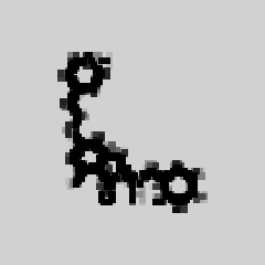 Cc1cc(OCCC2CCNCC2)cc2c1C(=O)N(NCC1CCCCC1)C2